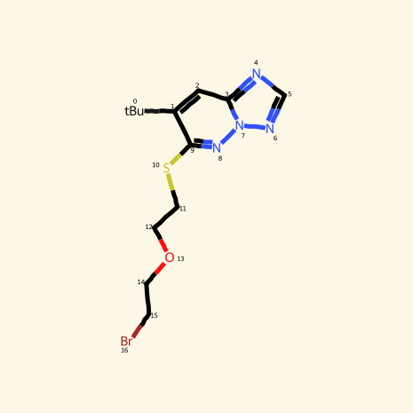 CC(C)(C)c1cc2ncnn2nc1SCCOCCBr